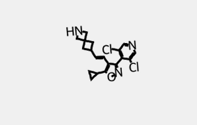 Clc1cncc(Cl)c1-c1noc(C2CC2)c1C=CC1CC2(CNC2)C1